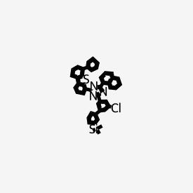 C[Si](C)(C)c1cccc(-c2cc(Cl)cc(-c3nc(-c4cccc5ccccc45)nc(-c4cccc5c4sc4c(-c6ccccc6)cccc45)n3)c2)c1